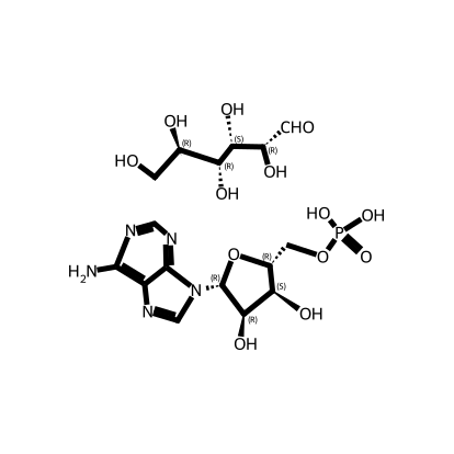 Nc1ncnc2c1ncn2[C@@H]1O[C@H](COP(=O)(O)O)[C@@H](O)[C@H]1O.O=C[C@H](O)[C@@H](O)[C@H](O)[C@H](O)CO